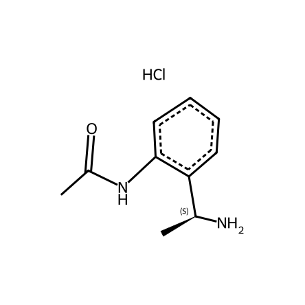 CC(=O)Nc1ccccc1[C@H](C)N.Cl